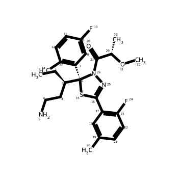 CC[C@H](CCN)[C@]1(c2cc(F)ccc2C)SC(c2cc(C)ccc2F)=NN1C(=O)[C@H](C)OC